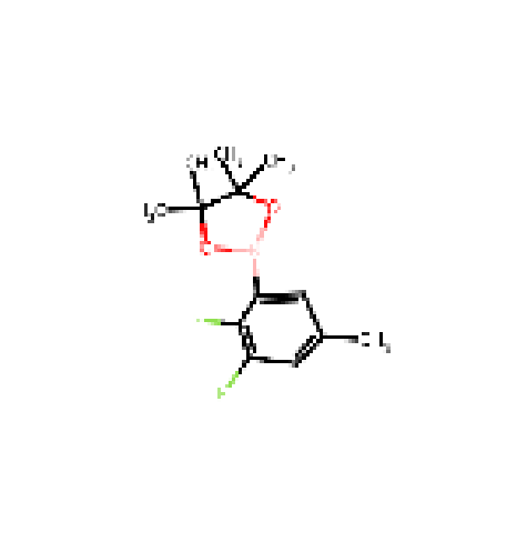 Cc1cc(F)c(F)c(B2OC(C)(C)C(C)(C)O2)c1